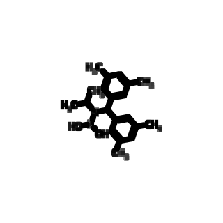 Cc1cc(C)cc(C(c2cc(C)cc(C)c2)N(C(C)C)P(O)O)c1